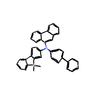 C[Si]1(C)c2ccccc2-c2ccc(N(c3ccc(-c4ccccc4)cc3)c3cc4ccccc4c4ccccc34)cc21